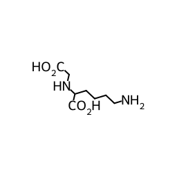 NCCCCC(NCC(=O)O)C(=O)O